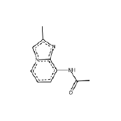 CC(=O)Nc1cccn2cc(C)nc12